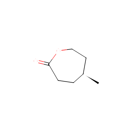 C[C@@H]1CCOC(=O)CC1